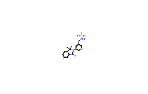 CC1(C)c2ccc(F)cc2C(=O)N1c1cncc(CNS(C)(=O)=O)c1